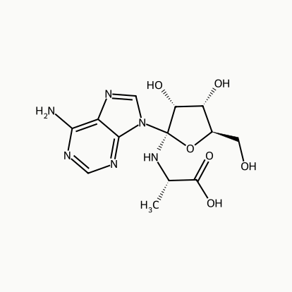 C[C@H](N[C@@]1(n2cnc3c(N)ncnc32)O[C@H](CO)[C@@H](O)[C@H]1O)C(=O)O